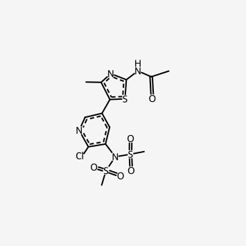 CC(=O)Nc1nc(C)c(-c2cnc(Cl)c(N(S(C)(=O)=O)S(C)(=O)=O)c2)s1